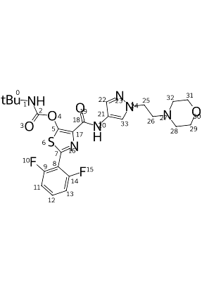 CC(C)(C)NC(=O)Oc1sc(-c2c(F)cccc2F)nc1C(=O)Nc1cnn(CCN2CCOCC2)c1